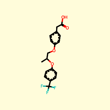 CC(COc1ccc(CC(=O)O)cc1)Oc1ccc(C(F)(F)F)cc1